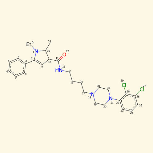 CCN1C(c2ccccc2)=CC(C(=O)NCCCCN2CCN(c3cccc(Cl)c3Cl)CC2)C1C